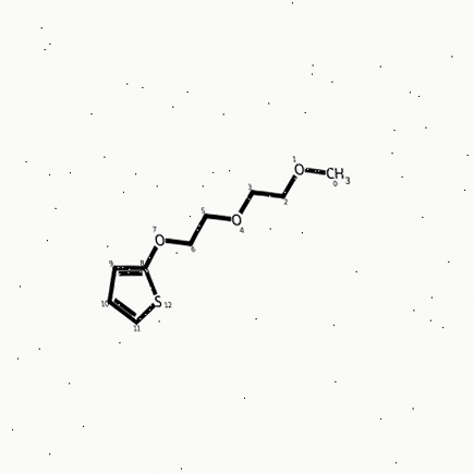 COCCOCCOc1cccs1